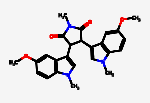 COc1ccc2c(c1)c(C1C(=O)N(C)C(=O)C1c1cn(C)c3ccc(OC)cc13)cn2C